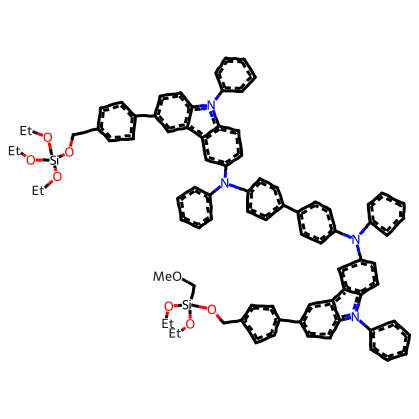 CCO[Si](COC)(OCC)OCc1ccc(-c2ccc3c(c2)c2cc(N(c4ccccc4)c4ccc(-c5ccc(N(c6ccccc6)c6ccc7c(c6)c6cc(-c8ccc(CO[Si](OCC)(OCC)OCC)cc8)ccc6n7-c6ccccc6)cc5)cc4)ccc2n3-c2ccccc2)cc1